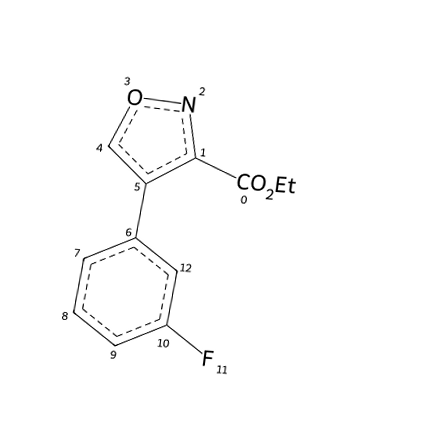 CCOC(=O)c1nocc1-c1cccc(F)c1